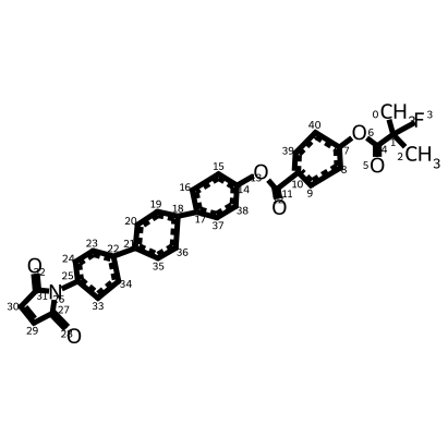 CC(C)(F)C(=O)Oc1ccc(C(=O)Oc2ccc(-c3ccc(-c4ccc(N5C(=O)C=CC5=O)cc4)cc3)cc2)cc1